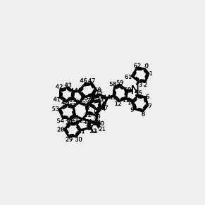 c1ccc(-n2c3ccccc3c3cc(-c4cccc(-c5cccc6c5C5(c7ccccc7-6)c6ccccc6C6(c7ccccc7-c7ccccc76)c6ccccc65)c4)ccc32)cc1